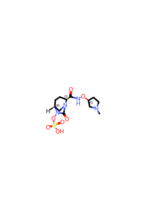 CN1CC[C@H](ONC(=O)[C@@H]2CC[C@@H]3CN2C(=O)N3OS(=O)(=O)O)C1